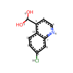 OC(O)c1ccnc2cc(Cl)ccc12